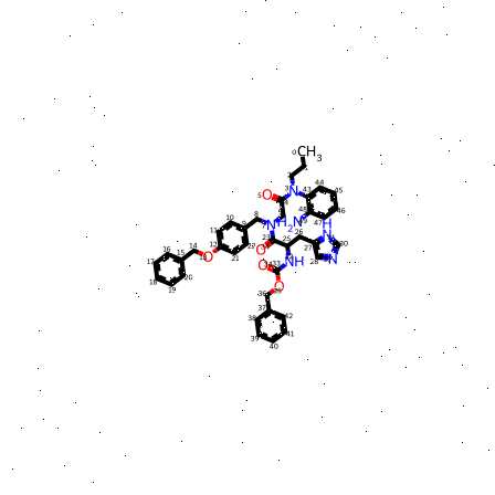 CCCN(C(=O)CN(Cc1ccc(OCc2ccccc2)cc1)C(=O)C(Cc1cnc[nH]1)NC(=O)OCc1ccccc1)c1ccccc1N